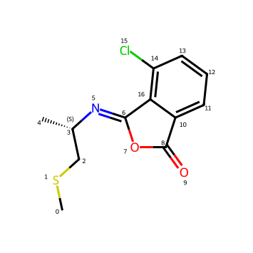 CSC[C@H](C)N=C1OC(=O)c2cccc(Cl)c21